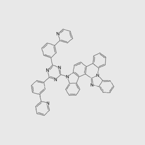 c1ccc(-c2cccc(-c3nc(-c4cccc(-c5ccccn5)c4)nc(-n4c5ccccc5c5c6c(ccc54)c4ccccc4n4c5ccccc5nc64)n3)c2)nc1